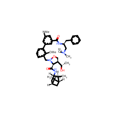 CNc1cc(C(=O)N[C@@H](Cc2ccccc2)CN(C)C)cc(-c2cccc(CN3OC[C@@H]([C@H](C)O)[C@H]3C(=O)N[C@H]3C[C@H]4C[C@@H]([C@@H]3C)C4(C)C)c2OC)c1